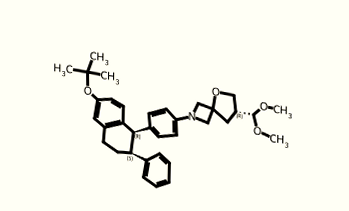 COC(OC)[C@H]1COC2(C1)CN(c1ccc([C@@H]3c4ccc(OC(C)(C)C)cc4CC[C@@H]3c3ccccc3)cc1)C2